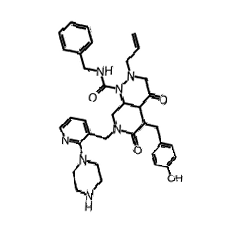 C=CCN1CC(=O)C2C(Cc3ccc(O)cc3)C(=O)N(Cc3cccnc3N3CCNCC3)CC2N1C(=O)NCc1ccccc1